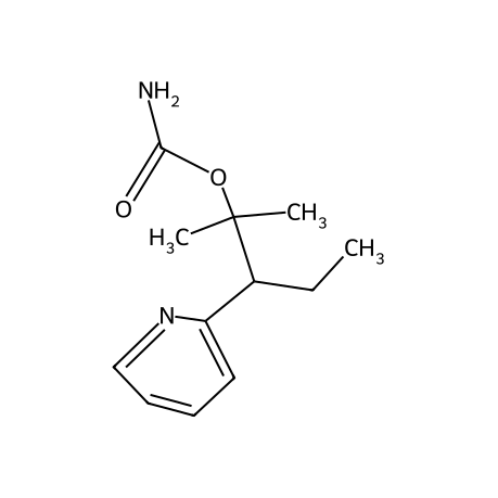 CCC(c1ccccn1)C(C)(C)OC(N)=O